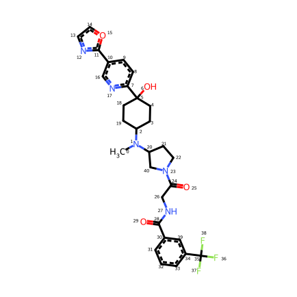 CN(C1CCC(O)(c2ccc(-c3ncco3)cn2)CC1)C1CCN(C(=O)CNC(=O)c2cccc(C(F)(F)F)c2)C1